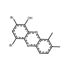 Cc1ccc2nc3c(Br)cc(Br)c(O)c3nc2c1C